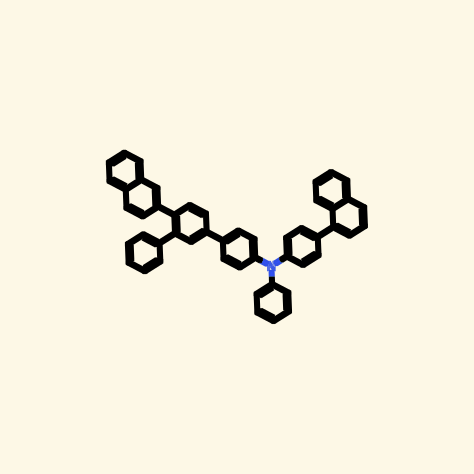 c1ccc(-c2cc(-c3ccc(N(c4ccccc4)c4ccc(-c5cccc6ccccc56)cc4)cc3)ccc2-c2ccc3ccccc3c2)cc1